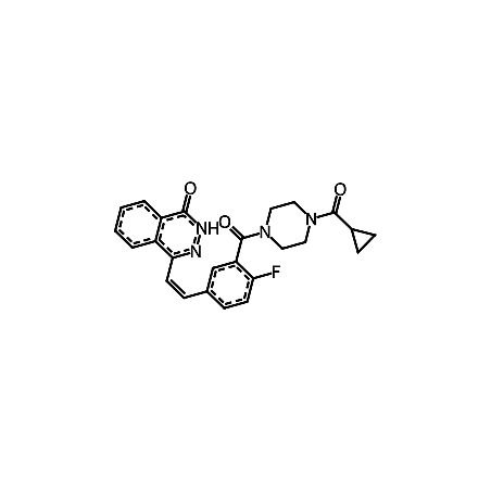 O=C(c1cc(/C=C\c2n[nH]c(=O)c3ccccc23)ccc1F)N1CCN(C(=O)C2CC2)CC1